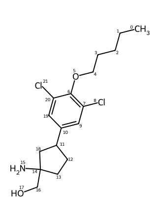 CCCCCOc1c(Cl)cc(C2CCC(N)(CO)C2)cc1Cl